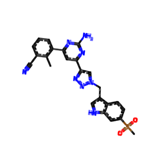 Cc1c(C#N)cccc1-c1cc(-c2cn(Cc3c[nH]c4cc(S(C)(=O)=O)ccc34)nn2)nc(N)n1